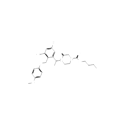 CCCCOC(=O)N1CCN(C(C)c2cc(F)cc(Cl)c2COc2ccc(OC)cc2)C(=O)C1